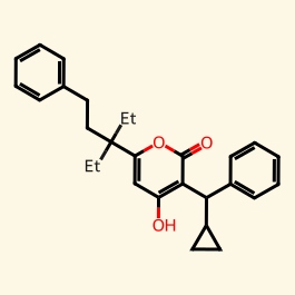 CCC(CC)(CCc1ccccc1)c1cc(O)c(C(c2ccccc2)C2CC2)c(=O)o1